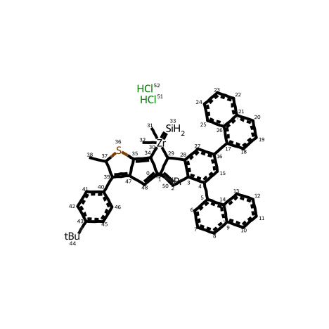 CC1=Cc2c(-c3cccc4ccccc34)cc(-c3cccc4ccccc34)cc2[CH]1[Zr]([CH3])([CH3])(=[SiH2])[C]1=C2SC(C)C(c3ccc(C(C)(C)C)cc3)=C2C=C1C(C)C.Cl.Cl